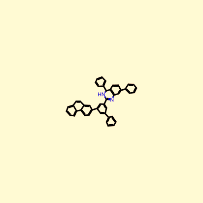 c1ccc(-c2cc(C3=Nc4cc(-c5ccccc5)ccc4C(c4ccccc4)N3)cc(-c3ccc4c(ccc5ccccc54)c3)c2)cc1